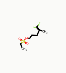 CCS(=O)(=O)OCCCC(C)=C(F)F